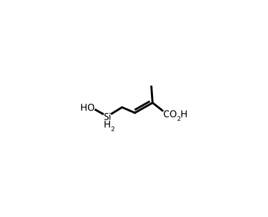 CC(=CC[SiH2]O)C(=O)O